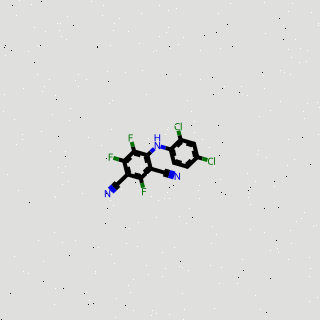 N#Cc1c(F)c(F)c(Nc2ccc(Cl)cc2Cl)c(C#N)c1F